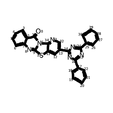 O=c1c2ccccc2nc2sc3cc(-c4nc(-c5ccccc5)nc(-c5ccccc5)n4)cnc3n12